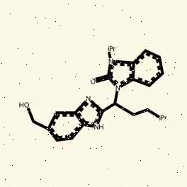 CC(C)CCC(c1nc2cc(CO)ccc2[nH]1)n1c(=O)n(C(C)C)c2ccccc21